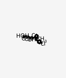 CC12CCC(C)(C1)C(Cc1ccc(Cl)cc1)C2CCC(O)CC(O)CC(=O)O